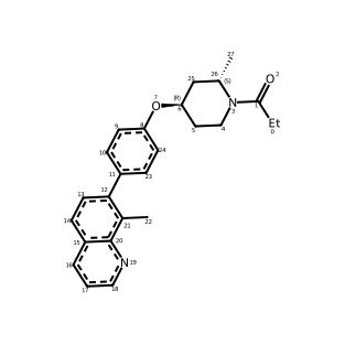 CCC(=O)N1CC[C@@H](Oc2ccc(-c3ccc4cccnc4c3C)cc2)C[C@@H]1C